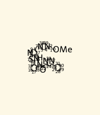 COCCN1CCN(Cc2cnc3sc(-c4ccccc4NC(=O)c4cc(-c5ccccc5)ncn4)nc3c2)CC1